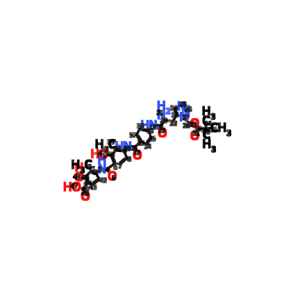 Cc1c(NC(=O)c2ccc(NC(=O)c3ccc(NC(=O)[C@@H](N)Cc4cnnn4COC(=O)C(C)(C)C)cc3)c(C)c2O)ccc(C(=O)O)c1O